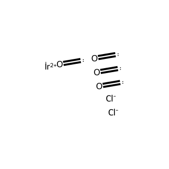 [C]=O.[C]=O.[C]=O.[C]=O.[Cl-].[Cl-].[Ir+2]